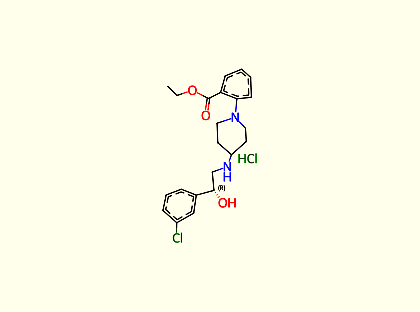 CCOC(=O)c1ccccc1N1CCC(NC[C@H](O)c2cccc(Cl)c2)CC1.Cl